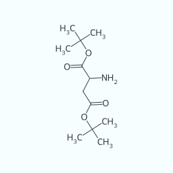 CC(C)(C)OC(=O)CC(N)C(=O)OC(C)(C)C